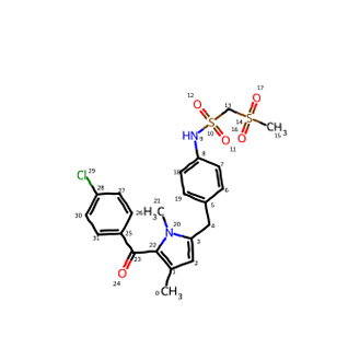 Cc1cc(Cc2ccc(NS(=O)(=O)CS(C)(=O)=O)cc2)n(C)c1C(=O)c1ccc(Cl)cc1